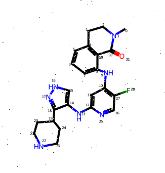 CN1CCc2cccc(Nc3cc(Nc4c[nH]nc4C4CCNCC4)ncc3F)c2C1=O